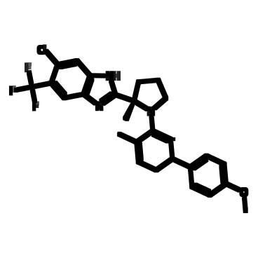 COc1ccc(C2[C]=C(N3CCC[C@@]3(C)c3nc4cc(C(F)(F)F)c(Cl)cc4[nH]3)C(C)=CC2)cc1